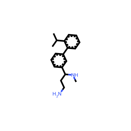 CNC(CCN)c1cccc(-c2ccccc2C(C)C)c1